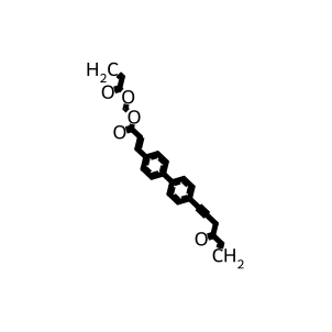 C=CC(=O)CC#Cc1ccc(-c2ccc(/C=C/C(=O)OCOC(=O)C=C)cc2)cc1